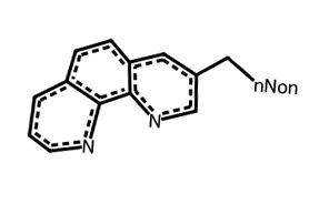 CCCCCCCCCCc1cnc2c(ccc3cccnc32)c1